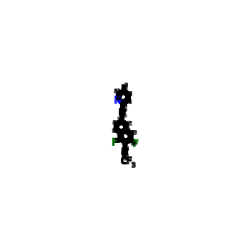 Cc1ccc(C#Cc2ccc3c(F)c(C#CC(F)(F)F)c(F)cc3c2)nc1